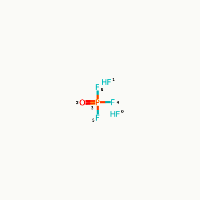 F.F.O=P(F)(F)F